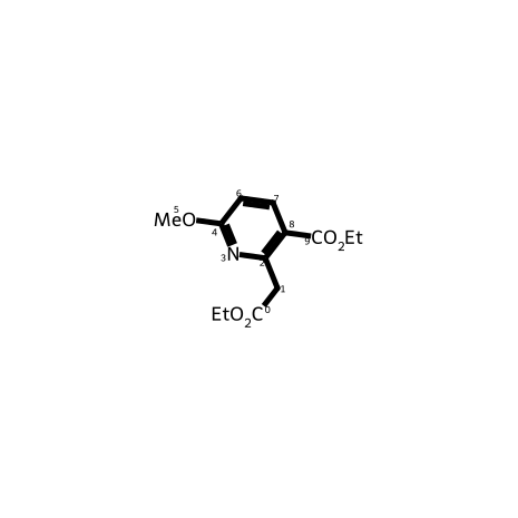 CCOC(=O)Cc1nc(OC)ccc1C(=O)OCC